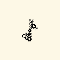 O=C1Cc2ccccc2N1NC(=O)[C@H]1C[C@H](Oc2cc(F)ccc2OC(F)F)C1